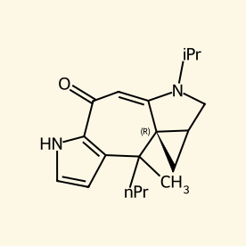 CCCC1(C)c2cc[nH]c2C(=O)C=C2N(C(C)C)CC3C[C@@]231